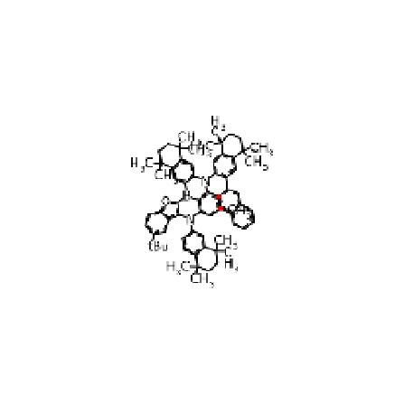 Cc1cc2c3c(c1)N(c1ccc4c(c1)C(C)(C)CCC4(C)C)c1c(oc4ccc(C(C)(C)C)cc14)B3c1cc3c(cc1N2c1cc2c(cc1-c1ccc4ccccc4c1)C(C)(C)CCC2(C)C)C(C)(C)CCC3(C)C